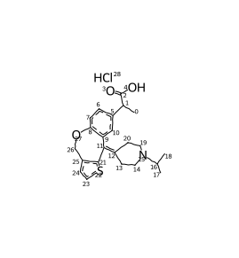 CC(C(=O)O)c1ccc2c(c1)C(=C1CCN(C(C)C)CC1)c1sccc1CO2.Cl